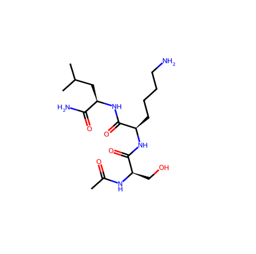 CC(=O)N[C@H](CO)C(=O)N[C@H](CCCCN)C(=O)N[C@H](CC(C)C)C(N)=O